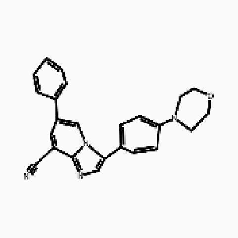 N#Cc1cc(-c2ccccc2)cn2c(-c3ccc(N4CCOCC4)cc3)cnc12